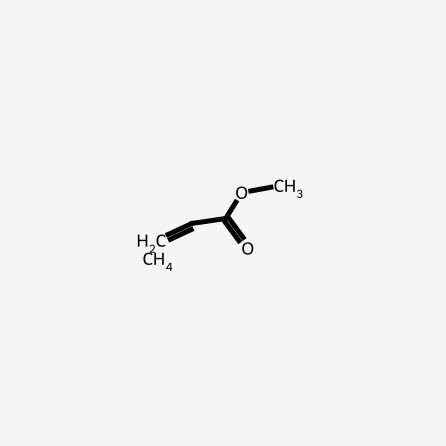 C.C=CC(=O)OC